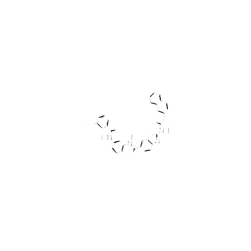 Cc1ccc(NC(=O)c2cccc(C(F)(F)F)c2)cc1NC(=O)c1ccc2nc(NC(=O)Oc3ccc4ccccc4c3)sc2c1